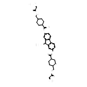 C=CC(=O)OCC1CCC(C(=O)Oc2ccc3c(c2)C(C)c2cc(OC(=O)C4CCC(COC(=O)C=C)CC4)ccc2-3)CC1